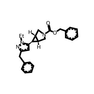 CCn1nc(Cc2ccccc2)cc1[C@H]1[C@@H]2CN(C(=O)OCc3ccccc3)C[C@@H]21